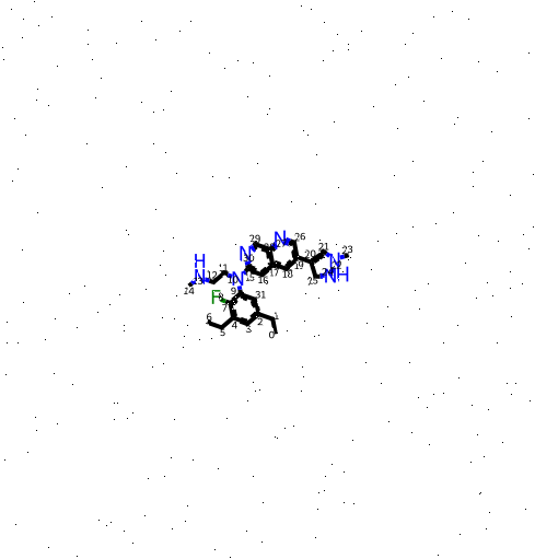 CCc1cc(CC)c(F)c(N(CCNC)c2cc3cc(C4=CN(C)NC4)cnc3cn2)c1